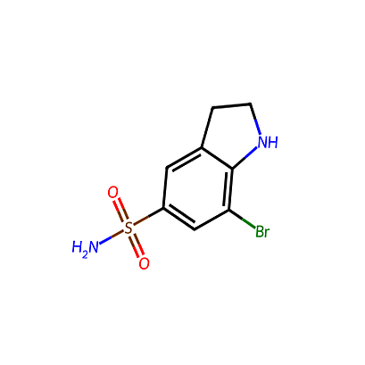 NS(=O)(=O)c1cc(Br)c2c(c1)CCN2